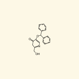 O=C1CC(CO)=NC=C1OC(c1ccccc1)c1ccccc1